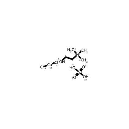 C[N+](C)(C)CCO.O=S(=O)(O)O.[Cl][Ca][Cl]